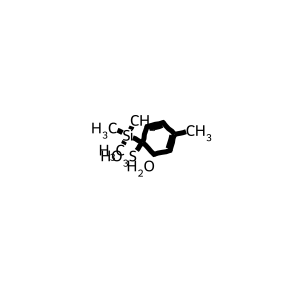 CC1=CCC([Si](C)(C)C)(S(=O)(=O)O)C=C1.O